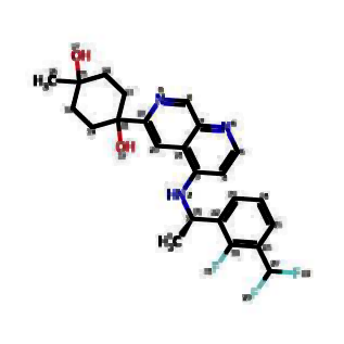 C[C@@H](Nc1ccnc2cnc(C3(O)CCC(C)(O)CC3)cc12)c1cccc(C(F)F)c1F